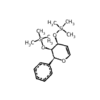 C[Si](C)(C)O[C@H]1[C@@H](O[Si](C)(C)C)C=CO[C@H]1c1ccccc1